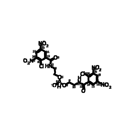 O=C(NCCO[PH](=O)OCCNC(=O)c1cc([N+](=O)[O-])cc([N+](=O)[O-])c1Cl)c1cc([N+](=O)[O-])cc([N+](=O)[O-])c1Cl